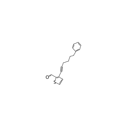 O=Cc1sccc1C#CCCCCc1ccccc1